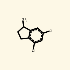 NC1CCc2c(Cl)cc(Cl)cc21